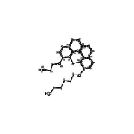 CCCCCCOc1ccc2ccccc2c1Cc1c(OCCN)ccc2ccccc12